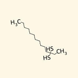 CCCCCCCCCCCC(S)(S)CC